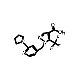 O=C(O)c1cnn(Cc2ccnc(N3CCCC3)c2)c1C(F)(F)F